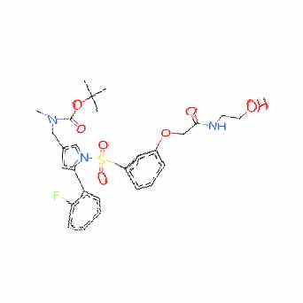 CN(Cc1cc(-c2ccccc2F)n(S(=O)(=O)c2cccc(OCC(=O)NCCO)c2)c1)C(=O)OC(C)(C)C